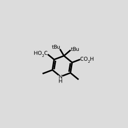 CC1=C(C(=O)O)C(C(C)(C)C)(C(C)(C)C)C(C(=O)O)=C(C)N1